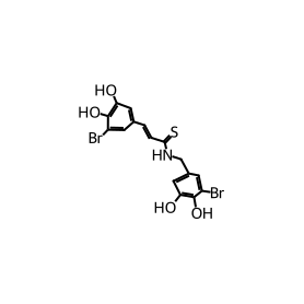 Oc1cc(/C=C/C(=S)NCc2cc(O)c(O)c(Br)c2)cc(Br)c1O